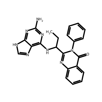 CCC(Nc1nc(N)nc2[nH]cnc12)c1nc2ccccc2c(=O)n1-c1ccccc1